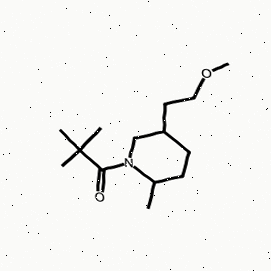 COCCC1CCC(C)N(C(=O)C(C)(C)C)C1